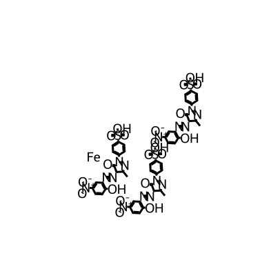 CC1=NN(c2ccc(S(=O)(=O)O)cc2)C(=O)C1N=Nc1cc([N+](=O)[O-])ccc1O.CC1=NN(c2ccc(S(=O)(=O)O)cc2)C(=O)C1N=Nc1cc([N+](=O)[O-])ccc1O.CC1=NN(c2ccc(S(=O)(=O)O)cc2)C(=O)C1N=Nc1cc([N+](=O)[O-])ccc1O.[Fe]